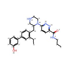 CCCNC(=O)c1ccc(N2CCNCC2Cc2ccc(-c3cccc(O)c3)cc2CC)nn1